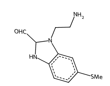 CSc1ccc2c(c1)N(CCN)C(C=O)N2